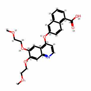 COCCOc1cc2nccc(Oc3ccc4c(C(=O)O)cccc4c3)c2cc1OCCOC